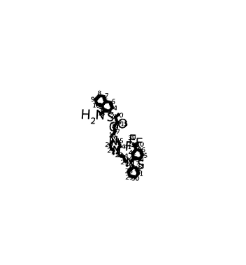 CC(Sc1ccc2ccccc2c1N)C(=O)OCCN1CCN(CCCN2c3ccccc3Sc3ccc(C(F)(F)F)cc32)CC1